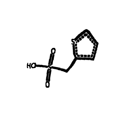 O=S(=O)(O)Cc1cccs1